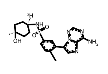 [2H][C@]1(NS(=O)(=O)c2ccc(C)c(-c3cnc4c(N)ncnn34)c2)CC[C@@](C)(O)CC1